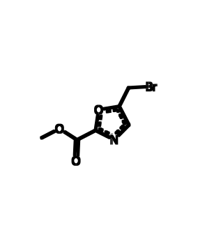 COC(=O)c1ncc(CBr)o1